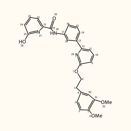 COc1ccc(CCOc2cccc(-c3cccc(NC(=O)c4cccc(O)n4)c3)n2)cc1OC